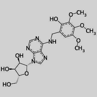 COc1cc(CNc2ncnc3c2ncn3[C@@H]2O[C@H](CO)[C@@H](O)[C@H]2O)c(O)c(OC)c1OC